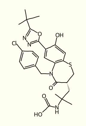 CC(C)(C[C@H]1CSc2cc(O)c(-c3nnc(C(C)(C)C)o3)cc2N(Cc2ccc(Cl)cc2)C1=O)NC(=O)O